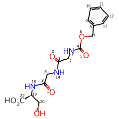 O=C(CNC(=O)OCc1ccccc1)NCC(=O)N[C@@H](CO)C(=O)O